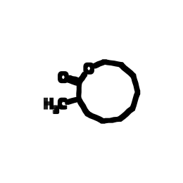 CC1CCCCCCCCOC1=O